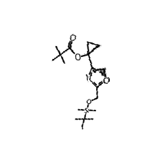 CC(C)(C)C(=O)OC1(c2coc(CO[Si](C)(C)C(C)(C)C)n2)CC1